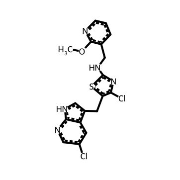 COc1ncccc1CNc1nc(Cl)c(Cc2c[nH]c3ncc(Cl)cc23)s1